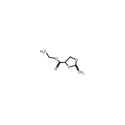 C=C1OCC(C(=O)OCC)O1